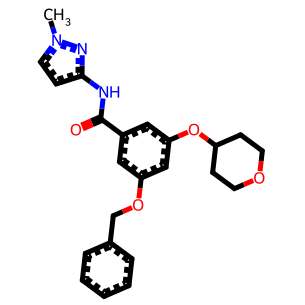 Cn1ccc(NC(=O)c2cc(OCc3ccccc3)cc(OC3CCOCC3)c2)n1